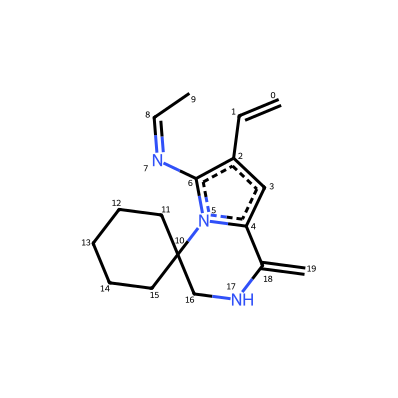 C=Cc1cc2n(c1/N=C\C)C1(CCCCC1)CNC2=C